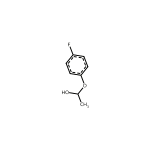 CC(O)Oc1ccc(F)cc1